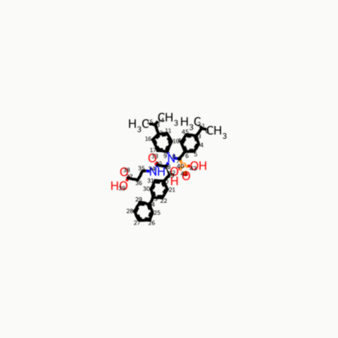 CC(C)c1ccc(C(N(c2ccc(C(C)C)cc2)[C@@H](Cc2ccc(-c3ccccc3)cc2)C(=O)NCCC(=O)O)P(=O)(O)O)cc1